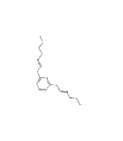 CCCCN=CCc1cccc(CC=NCCCC)n1